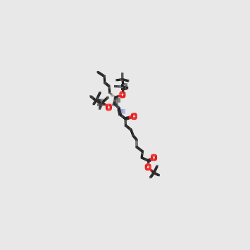 CCCCC[C@H](O[Si](C)(C)C(C)(C)C)[C@H](/C=C/C(=O)CCCCCCCC(=O)OC(C)(C)C)O[Si](C)(C)C(C)(C)C